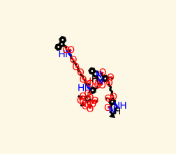 COC(=O)[C@H]1O[C@@H](Oc2ccc(COC(=O)N3c4cc(OCCCCCOc5cc6c(cc5OC)C(=O)N5CC7(CC7)C[C@H]5CN6)c(OC)cc4C(=O)N4Cc5ccccc5C[C@H]4[C@@H]3O)cc2NC(=O)CCOCCOCCOCCOCCNC(=O)OCC2c3ccccc3-c3ccccc32)[C@H](OC(C)=O)[C@@H](OC(C)=O)[C@@H]1OC(C)=O